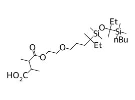 CCCC[Si](C)(C)C(C)(CC)O[Si](C)(C)C(C)(CC)CCCOCCOC(=O)C(C)C(C)C(=O)O